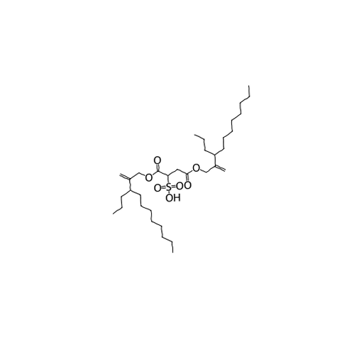 C=C(COC(=O)CC(C(=O)OCC(=C)C(CCC)CCCCCCCC)S(=O)(=O)O)C(CCC)CCCCCCCC